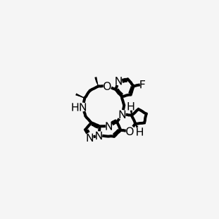 C[C@@H]1C[C@H](C)NCc2cnn3cc4c(nc23)N(Cc2cc(F)cnc2O1)[C@@H]1CCC[C@@H]1O4